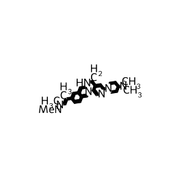 C=C(Nc1cc2cc(/C(C)=C/N(C)NC)ccc2cn1)c1ccnc(N2CCC(N(C)C)CC2)c1